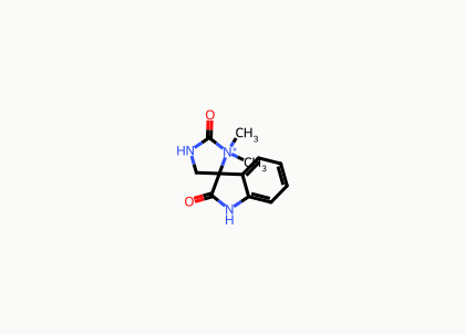 C[N+]1(C)C(=O)NCC12C(=O)Nc1ccccc12